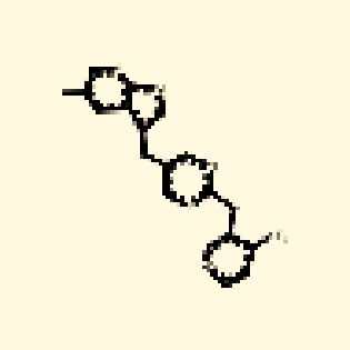 Cc1cnc2[nH]cc(Cc3cnc([CH]c4cnccc4C(F)(F)F)nc3)c2c1